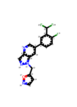 Fc1ccc(-c2cnc3cnn(Cc4ccno4)c3c2)cc1C(F)F